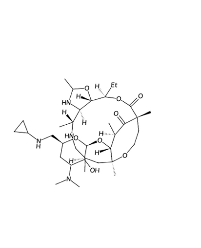 CC[C@H]1OC(=O)[C@]2(C)CCO[C@@](C)(C[C@@H](C)CN[C@H](C)[C@H]3NC(C)O[C@@H]31)[C@H](O[C@@H]1O[C@H](CNC3CC3)CC(N(C)C)C1O)[C@@H](C)C2=O